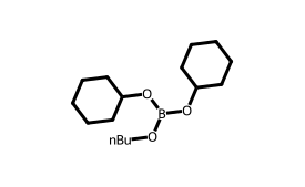 CCCCOB(OC1CCCCC1)OC1CCCCC1